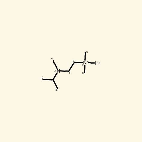 CC(C)N(I)CC[N+](C)(C)I